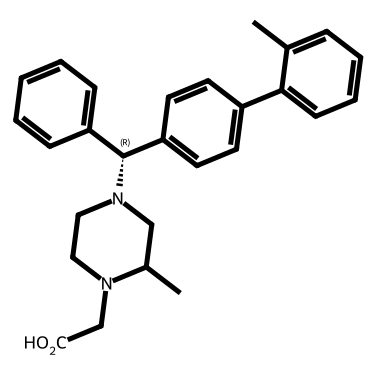 Cc1ccccc1-c1ccc([C@@H](c2ccccc2)N2CCN(CC(=O)O)C(C)C2)cc1